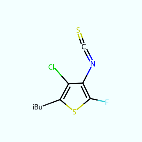 CCC(C)c1sc(F)c(N=C=S)c1Cl